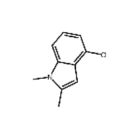 Cc1cc2c(Cl)cccc2n1C